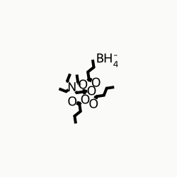 CCCC(=O)OC(C[N+](CC)(CC)CC)(OC(=O)CCC)OC(=O)CCC.[BH4-]